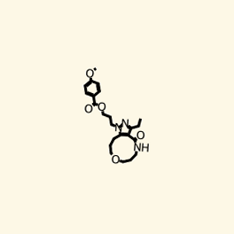 CCc1nn(CCCOC(=O)c2ccc(OC)cc2)c2c1C(=O)NCCCOCCC2